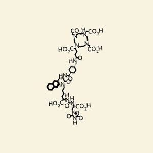 O=C(O)CN1CCN(CC(=O)O)CCN(C(CCC(=O)NC[C@H]2CC[C@H](C(=O)N[C@@H](Cc3ccc4ccccc4c3)C(=O)NCCCC[C@H](NC(=O)N[C@@H](Cn3oc(=O)[nH]c3=O)C(=O)O)C(=O)O)CC2)C(=O)O)CCN(CC(=O)O)CC1